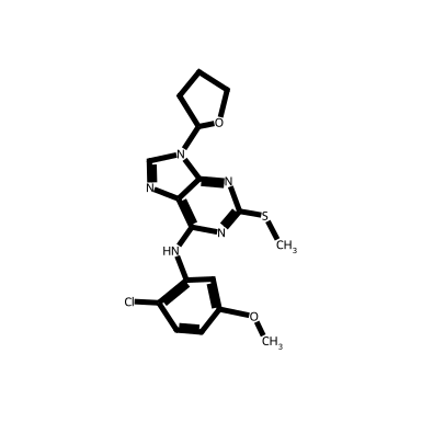 COc1ccc(Cl)c(Nc2nc(SC)nc3c2ncn3C2CCCO2)c1